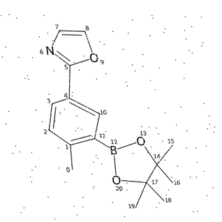 Cc1ccc(-c2ncco2)cc1B1OC(C)(C)C(C)(C)O1